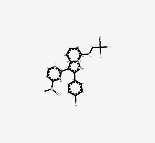 C[S+]([O-])c1ccnc(-c2c(-c3ccc(F)cc3)nn3c(OCC(F)(F)F)cccc23)n1